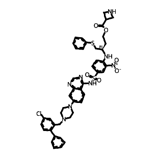 O=C(OCC[C@H](CSc1ccccc1)Nc1ccc(S(=O)(=O)Nc2ncnc3cc(N4CCN(Cc5cc(Cl)ccc5-c5ccccc5)CC4)ccc23)cc1[N+](=O)[O-])C1CNC1